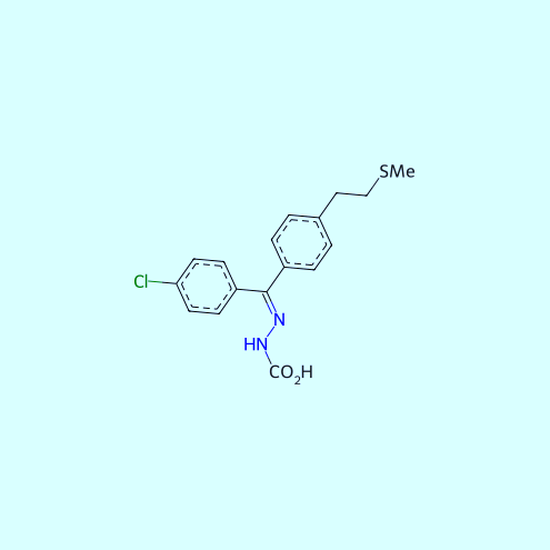 CSCCc1ccc(C(=NNC(=O)O)c2ccc(Cl)cc2)cc1